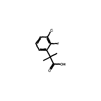 CC(C)(C(=O)O)c1cccc(Cl)c1F